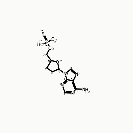 Nc1ncnc2c1ncn2[C@H]1CCC(COP(O)(O)=S)O1